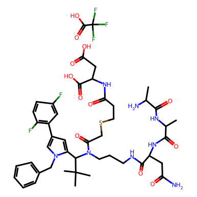 CC(N)C(=O)NC(C)C(=O)NC(CC(N)=O)C(=O)NCCCN(C(=O)CSCCC(=O)NC(CC(=O)O)C(=O)O)C(c1cc(-c2cc(F)ccc2F)cn1Cc1ccccc1)C(C)(C)C.O=C(O)C(F)(F)F